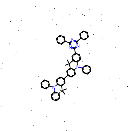 CC1(C)c2cc(-c3ccc4c(c3)[Si](C)(C)c3ccccc3N4c3ccccc3)ccc2N(c2ccccc2)c2ccc(-c3nc(-c4ccccc4)nc(-c4ccccc4)n3)cc21